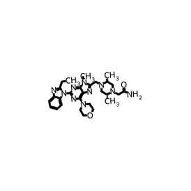 CCc1nc2ccccc2n1-c1nc(N2CCOCC2)c2nc(CN3C[C@H](C)N(CC(N)=O)CC3C)n(C)c2n1